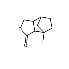 O=C1OCC2C3CCC(I)(C3)C12